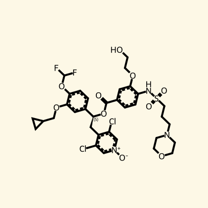 O=C(O[C@@H](Cc1c(Cl)c[n+]([O-])cc1Cl)c1ccc(OC(F)F)c(OCC2CC2)c1)c1ccc(NS(=O)(=O)CCCN2CCOCC2)c(OCCO)c1